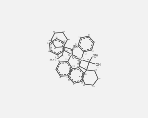 COCC1(CO[Si](c2ccccc2)(c2ccccc2)C(O)(C(C)(C)C)C2(CO[Si](c3ccccc3)(c3ccccc3)C(C)(C)C)CCCCC2)CCCCC1